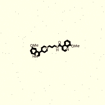 COc1ccc2[nH]cc(C3CCN(CCCNC(=O)c4ccnc5c(OC)cccc45)CC3)c2c1